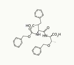 C[C@H](OCc1ccccc1)[C@@H](NC(=O)[C@@H](NC(=O)OCc1ccccc1)C(Cc1ccccc1)C(=O)O)C(=O)O